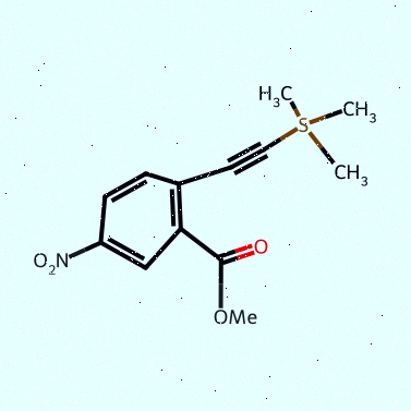 COC(=O)c1cc([N+](=O)[O-])ccc1C#CS(C)(C)C